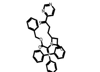 O=C(OCc1ccccc1)C(N1C(=O)CC1CCC(=S)c1ccncn1)=P(c1ccccc1)(c1ccccc1)c1ccccc1